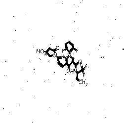 CCC(NC(=O)c1cn(-c2c(F)cccc2F)c2nc(N3C[C@@H](O)CC3=O)ccc2c1=O)C(F)(F)F